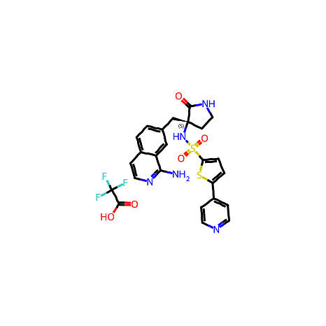 Nc1nccc2ccc(C[C@]3(NS(=O)(=O)c4ccc(-c5ccncc5)s4)CCNC3=O)cc12.O=C(O)C(F)(F)F